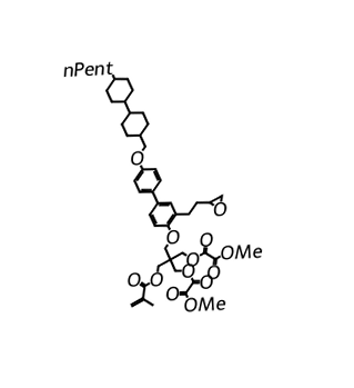 C=C(C)C(=O)OCC(COC(=O)C(=O)OC)(COC(=O)C(=O)OC)COc1ccc(-c2ccc(OCC3CCC(C4CCC(CCCCC)CC4)CC3)cc2)cc1CCC1CO1